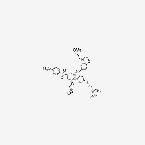 COCCCN1CCOc2ccc(CO[C@H]3CN(S(=O)(=O)c4ccc(C)cc4)C[C@@H](OC[C@H]4CO4)[C@@H]3c3ccc(COC[C@@H](C)CSC)cc3)cc21